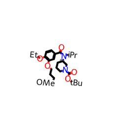 CCOc1ccc(C(=O)N(C(C)C)[C@@H]2CCCN(C(=O)OC(C)(C)C)C2)cc1OCCCOC